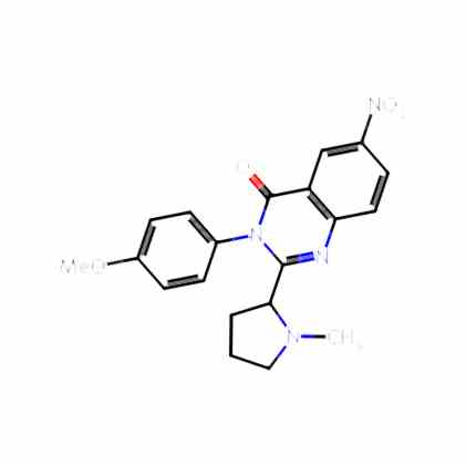 COc1ccc(-n2c(C3CCCN3C)nc3ccc([N+](=O)[O-])cc3c2=O)cc1